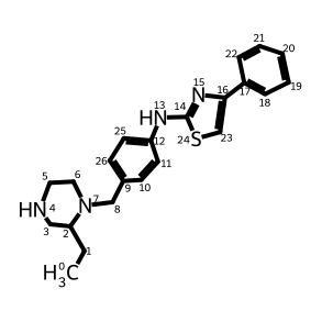 CCC1CNCCN1Cc1ccc(Nc2nc(-c3ccccc3)cs2)cc1